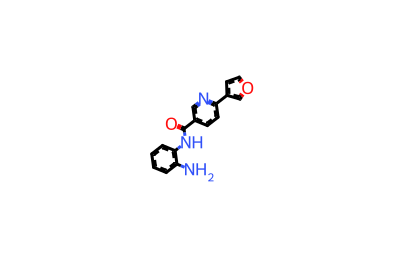 Nc1ccccc1NC(=O)c1ccc(-c2ccoc2)nc1